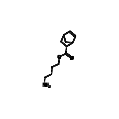 NCCCCOC(=O)C1CC2C=CC1C2